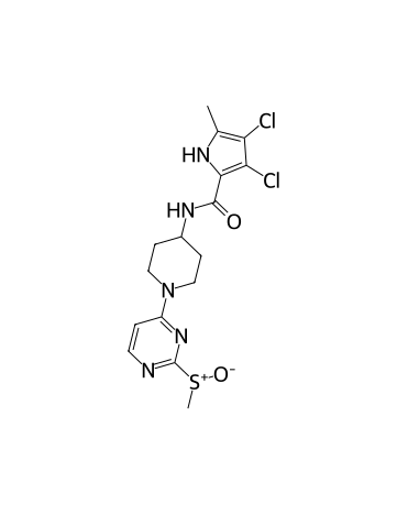 Cc1[nH]c(C(=O)NC2CCN(c3ccnc([S+](C)[O-])n3)CC2)c(Cl)c1Cl